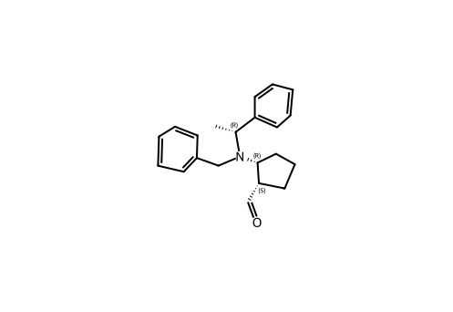 C[C@H](c1ccccc1)N(Cc1ccccc1)[C@@H]1CCC[C@@H]1C=O